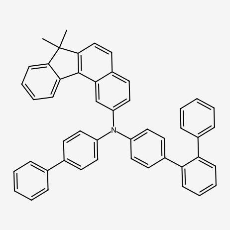 CC1(C)c2ccccc2-c2c1ccc1ccc(N(c3ccc(-c4ccccc4)cc3)c3ccc(-c4ccccc4-c4ccccc4)cc3)cc21